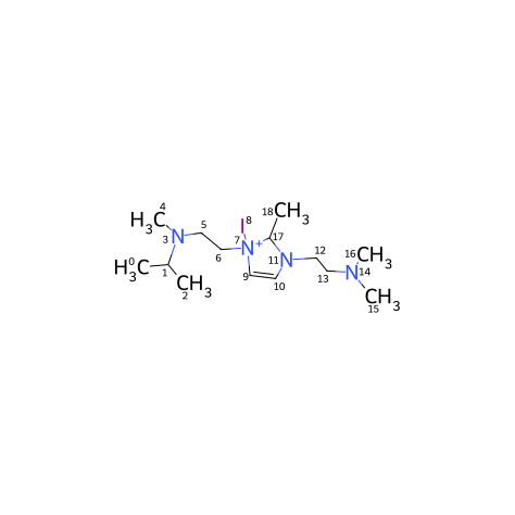 CC(C)N(C)CC[N+]1(I)C=CN(CCN(C)C)C1C